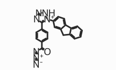 [N-]=[N+]=NC(=O)c1ccc(-c2nn[nH][n+]2-c2ccc3c(c2)Cc2ccccc2-3)cc1